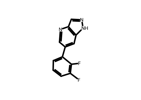 Fc1cccc(-c2cnc3cn[nH]c3c2)c1F